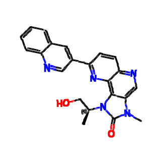 C[C@@H](CO)n1c(=O)n(C)c2cnc3ccc(-c4cnc5ccccc5c4)nc3c21